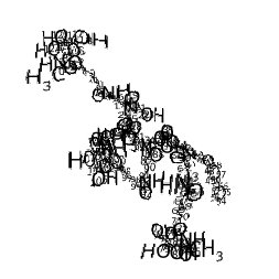 CC(=O)NC1C(OCCCCCC(=O)NCCCC(=O)N(CCO)CCOP(=O)(O)OCCN(CCOP(=O)(O)OCCN(CCOC2CCC(C3CCCCC3)CC2)C(=O)CCCNC(=O)CCCCCOC2OC(CO)C(O)C(O)C2NC(C)=O)C(=O)CCCNC(=O)CCCCCOC2OC(CO)C(O)C(O)C2NC(C)=O)OC(CO)C(O)C1O